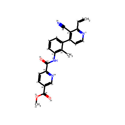 C=Cc1nccc(-c2cccc(NC(=O)c3ccc(C(=O)OC)cn3)c2C)c1C#N